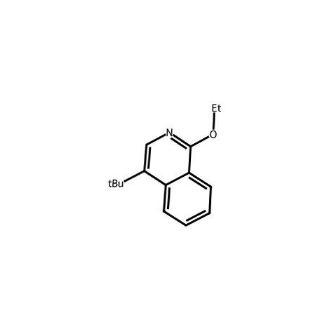 CCOc1ncc(C(C)(C)C)c2ccccc12